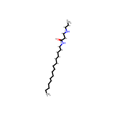 CCCCCCCCCCCCCCCCNC(=O)CCNCCC